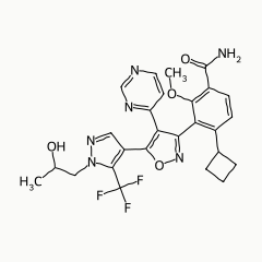 COc1c(C(N)=O)ccc(C2CCC2)c1-c1noc(-c2cnn(CC(C)O)c2C(F)(F)F)c1-c1ccncn1